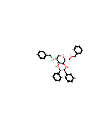 c1ccc(COC[C@H]2OC[C@@H](OCc3ccccc3)[C@H](OCc3ccccc3)[C@@H]2OCc2ccccc2)cc1